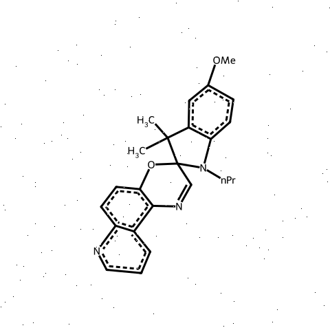 CCCN1c2ccc(OC)cc2C(C)(C)C12C=Nc1c(ccc3ncccc13)O2